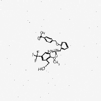 COc1c(CO)cc(C(F)(F)F)cc1NC(=O)NCc1ccccc1OCc1ccc(C(=O)O)cc1